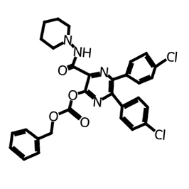 O=C(OCc1ccccc1)Oc1nc(-c2ccc(Cl)cc2)c(-c2ccc(Cl)cc2)nc1C(=O)NN1CCCCC1